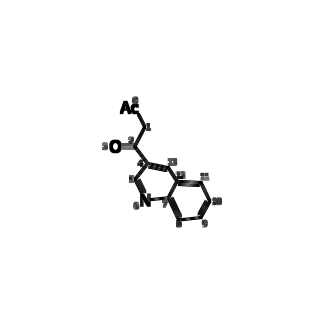 CC(=O)CC(=O)c1cnc2ccccc2c1